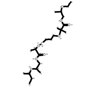 CCOC(C)COC(=O)C(C)(C)OCCCCOC(C)C(=O)OCC(C)OC(C)CC